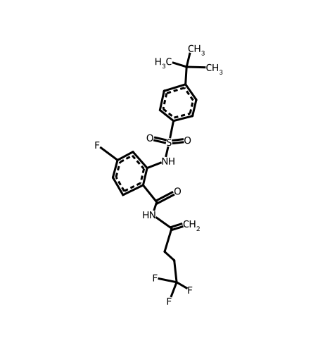 C=C(CCC(F)(F)F)NC(=O)c1ccc(F)cc1NS(=O)(=O)c1ccc(C(C)(C)C)cc1